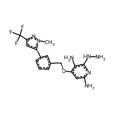 Cn1nc(C(F)(F)F)cc1-c1cccc(COc2cc(N)nc(NN)c2N)c1